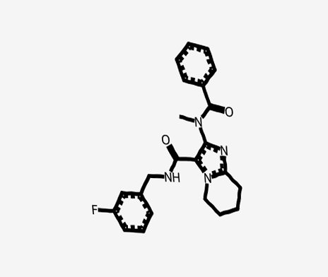 CN(C(=O)c1ccccc1)c1nc2n(c1C(=O)NCc1cccc(F)c1)CCCC2